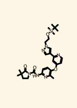 Cc1nc(NC(=O)N2CCC(C)(C)C2=O)ccc1Oc1ccnc(-c2cnn(CCO[Si](C)(C)C(C)(C)C)c2)c1